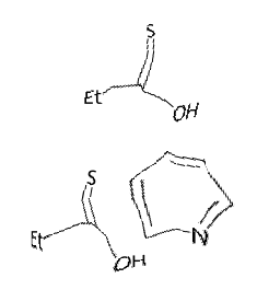 CCC(O)=S.CCC(O)=S.c1ccncc1